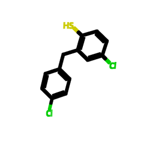 Sc1ccc(Cl)cc1Cc1ccc(Cl)cc1